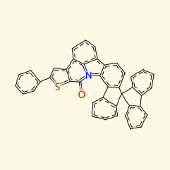 O=c1c2sc(-c3ccccc3)cc2c2cccc3c4ccc5c(c4n1c23)-c1ccccc1C51c2ccccc2-c2ccccc21